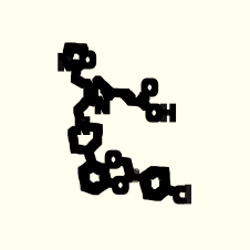 O=C(O)C=Cc1cn(Cc2ncco2)c(CN2CCC(c3cccc4c3OC[C@@H](c3ccc(Cl)cc3)O4)CC2)n1